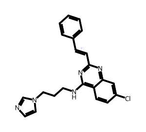 Clc1ccc2c(NCCCn3ccnc3)nc(/C=C/c3ccccc3)nc2c1